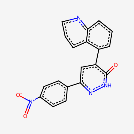 O=c1[nH]nc(-c2ccc([N+](=O)[O-])cc2)cc1-c1cccc2ncccc12